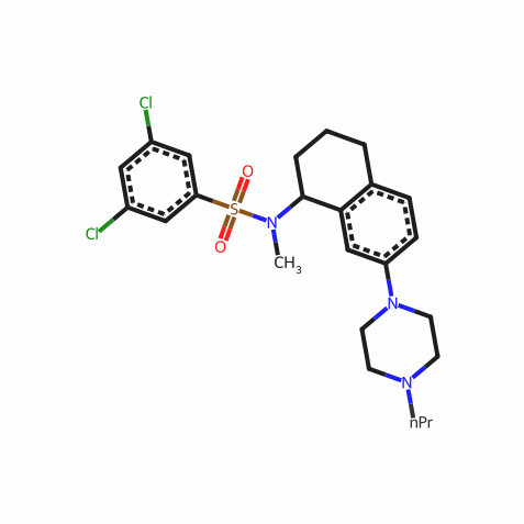 CCCN1CCN(c2ccc3c(c2)C(N(C)S(=O)(=O)c2cc(Cl)cc(Cl)c2)CCC3)CC1